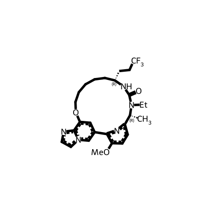 CCN1C(=O)N[C@@H](CCC(F)(F)F)CCCCCOc2cc(cn3ccnc23)-c2nc(ccc2OC)[C@H]1C